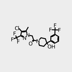 Cc1c(Cl)c(C(F)(F)F)nn1CC(=O)N1CCC(O)(c2cccc(C(F)(F)F)c2)CC1